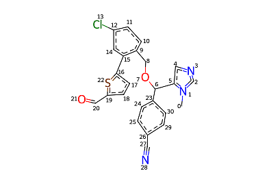 Cn1cncc1C(OCc1ccc(Cl)cc1-c1ccc(C=O)s1)c1ccc(C#N)cc1